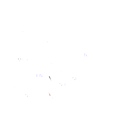 COCCNC[C@@H](NC(=O)NC1=C(C)C(C2=C/C(C)CCC(=O)/C(C(=O)CCCC3CCOCC3)=C\2)=NCC(c2ccccc2)C1C)[C@@H](O)c1cnc(F)c(F)c1